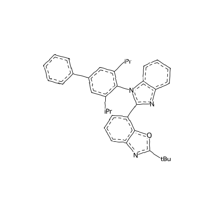 CC(C)c1cc(-c2ccccc2)cc(C(C)C)c1-n1c(-c2cccc3nc(C(C)(C)C)oc23)nc2ccccc21